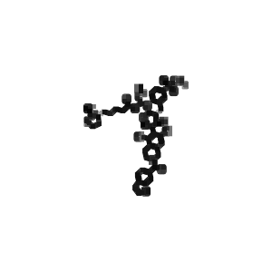 CC(OC(=O)CCCC[C@@H]1CCS[S+]1[O-])OC(=O)[C@H](Cc1cccc(S(C)(=O)=O)c1)NC(=O)c1c(Cl)cc2c(c1Cl)CCN(C(=O)c1ccc3ccoc3c1)C2